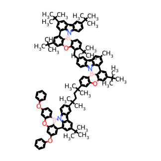 Cc1cc2c3c(c1)c1cc(Cc4c(C(C)(C)C)ccc5c4Oc4cc(C(C)(C)C)cc6c4B5n4c5ccc(C(C)(C)C)cc5c5cc(C(C)(C)C)cc-6c54)ccc1n3B1c3ccc(C(C)(C)CCC(C)(C)c4ccc5c(c4)c4cc(C(C)(C)C)cc6c4n5B4c5ccc(Oc7ccccc7)cc5Oc5cc(Oc7ccccc7)cc-6c54)cc3Oc3cc(C(C)(C)C)cc-2c31